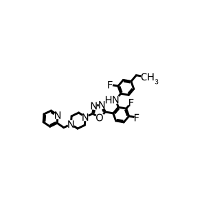 CCc1ccc(Nc2c(-c3nnc(N4CCN(Cc5ccccn5)CC4)o3)ccc(F)c2F)c(F)c1